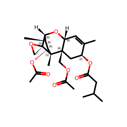 CC(=O)OC[C@]12C[C@H](OC(=O)CC(C)C)C(C)=C[C@H]1O[C@@H]1[C@H](C)[C@@H](OC(C)=O)[C@@]2(C)[C@]12CO2